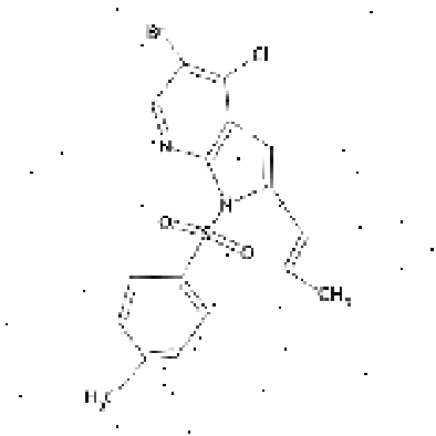 CC=Cc1cc2c(Cl)c(Br)cnc2n1S(=O)(=O)c1ccc(C)cc1